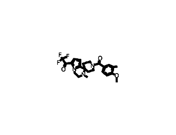 COc1ccc(C(=O)N2CCC3(CC2)c2ccc(C(=O)C(F)(F)F)n2CCN3C)cc1C